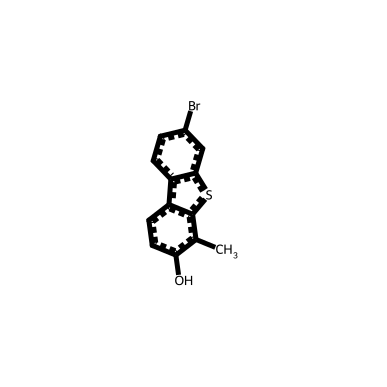 Cc1c(O)ccc2c1sc1cc(Br)ccc12